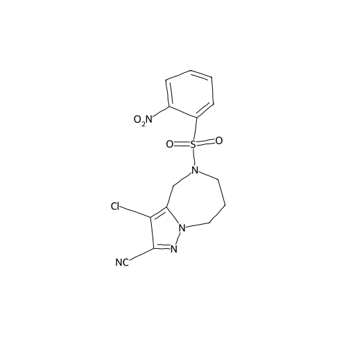 N#Cc1nn2c(c1Cl)CN(S(=O)(=O)c1ccccc1[N+](=O)[O-])CCC2